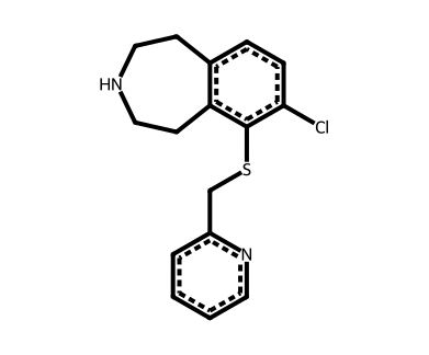 Clc1ccc2c(c1SCc1ccccn1)CCNCC2